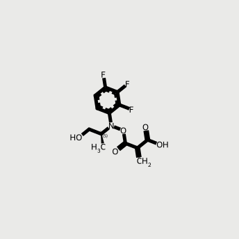 C=C(C(=O)O)C(=O)ON(c1ccc(F)c(F)c1F)[C@@H](C)CO